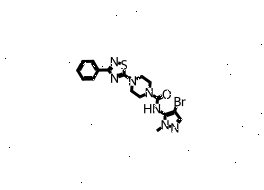 Cn1ncc(Br)c1NC(=O)N1CCN(c2nc(-c3ccccc3)ns2)CC1